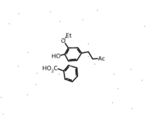 CCOc1cc(CCC(C)=O)ccc1O.O=C(O)c1ccccc1